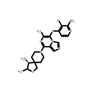 Cc1nc(N2CCC3(CC2)COC(C)[C@H]3N)c2cncn2c1Sc1ccnc(N)c1Cl